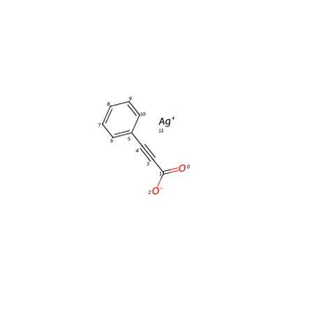 O=C([O-])C#Cc1ccccc1.[Ag+]